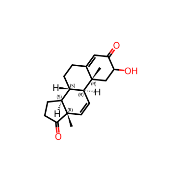 C[C@]12CC(O)C(=O)C=C1CC[C@@H]1[C@@H]2C=C[C@]2(C)C(=O)CC[C@@H]12